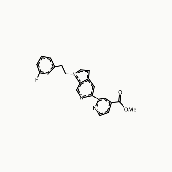 COC(=O)c1ccnc(-c2cc3ccn(CCc4cccc(F)c4)c3cn2)c1